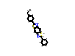 CC(C)Cc1ccc(-c2nc3cc4sc(-c5ccccc5)nc4cc3s2)cc1